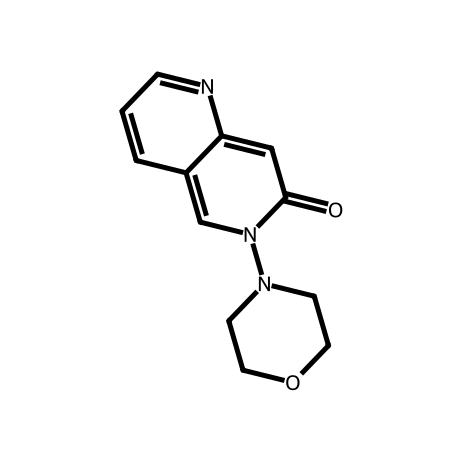 O=c1cc2ncccc2cn1N1CCOCC1